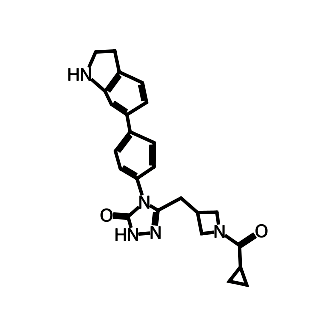 O=C(C1CC1)N1CC(Cc2n[nH]c(=O)n2-c2ccc(-c3ccc4c(c3)NCC4)cc2)C1